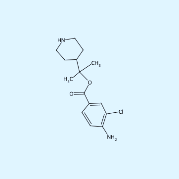 CC(C)(OC(=O)c1ccc(N)c(Cl)c1)C1CCNCC1